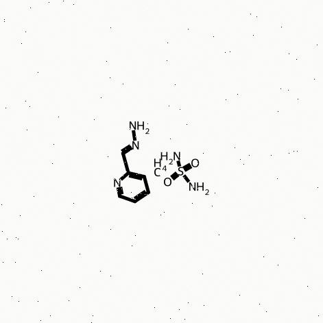 C.NN=Cc1ccccn1.NS(N)(=O)=O